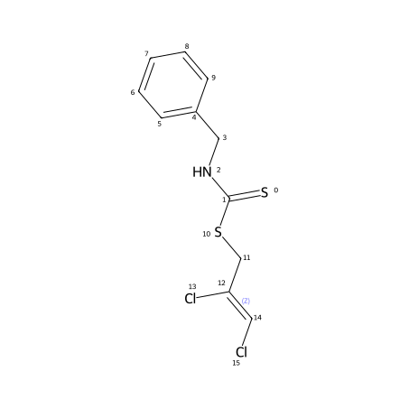 S=C(NCc1ccccc1)SC/C(Cl)=C/Cl